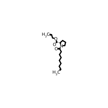 C=CCCCCCCC(=O)N1CCC[C@H]1C(=O)OCC=C